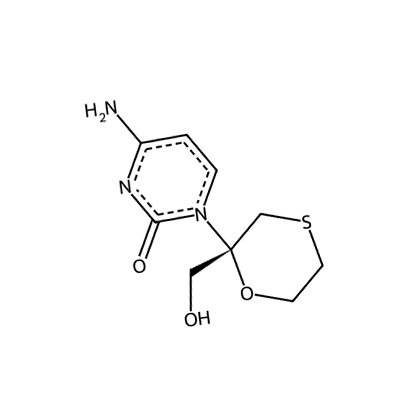 Nc1ccn([C@]2(CO)CSCCO2)c(=O)n1